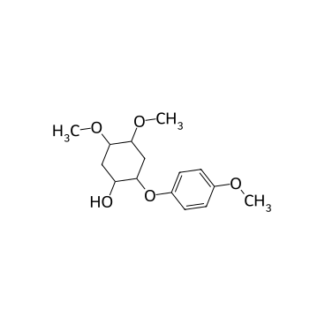 COc1ccc(OC2CC(OC)C(OC)CC2O)cc1